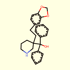 OC(c1ccccc1)(c1ccccc1)C1(CCc2ccc3c(c2)OCO3)CCCNC1